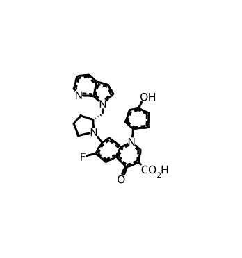 O=C(O)c1cn(-c2ccc(O)cc2)c2cc(N3CCC[C@@H]3Cn3ccc4cccnc43)c(F)cc2c1=O